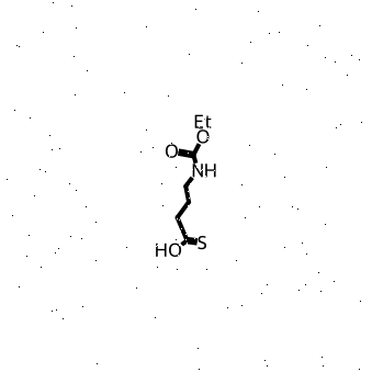 CCOC(=O)NCCCC(O)=S